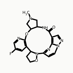 CN1CC2NC(=O)c3cnn4ccc(nc34)N3OCCC3c3cc(F)cnc3OC2C1